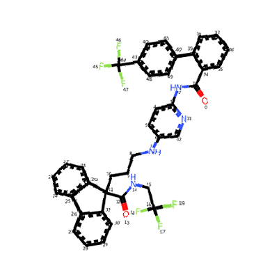 O=C(Nc1ccc(NCCCC2(C(=O)NCC(F)(F)F)c3ccccc3-c3ccccc32)cn1)c1ccccc1-c1ccc(C(F)(F)F)cc1